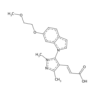 COCCOc1ccc2ccn(-c3c(C=CC(=O)O)c(C)nn3C)c2c1